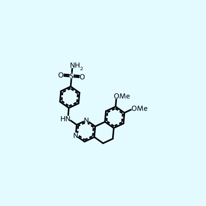 COc1cc2c(cc1OC)-c1nc(Nc3ccc(S(N)(=O)=O)cc3)ncc1CC2